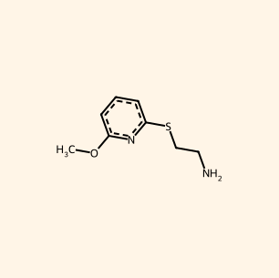 COc1cccc(SCCN)n1